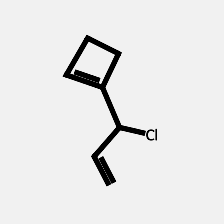 C=CC(Cl)C1=CCC1